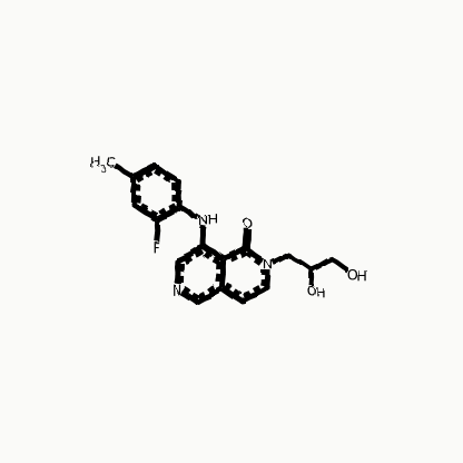 Cc1ccc(Nc2cncc3ccn(CC(O)CO)c(=O)c23)c(F)c1